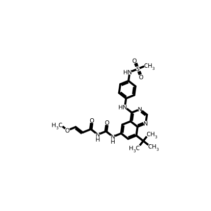 COC=CC(=O)NC(=O)Nc1cc(C(C)(C)C)c2ncnc(Nc3ccc(NS(C)(=O)=O)cc3)c2c1